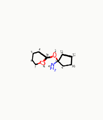 NC1(OC2CCCCO2)CCCC1